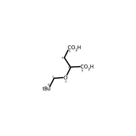 CC(C)(C)COC(CC(=O)O)C(=O)O